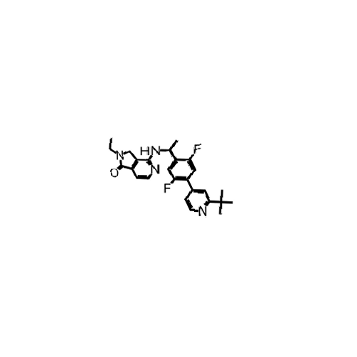 CCN1Cc2c(ccnc2NC(C)c2cc(F)c(-c3ccnc(C(C)(C)C)c3)cc2F)C1=O